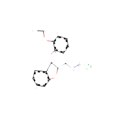 CCOc1ccccc1O[C@H]1c2ccccc2O[C@@H]1CNC.Cl